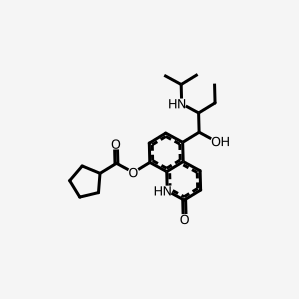 CCC(NC(C)C)C(O)c1ccc(OC(=O)C2CCCC2)c2[nH]c(=O)ccc12